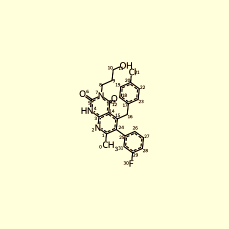 Cc1nc2[nH]c(=O)n(CCCO)c(=O)c2c(Cc2ccc(Cl)cc2)c1-c1cccc(F)c1